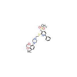 CS(=O)(=O)Cc1ccc(-c2ccccc2)nc1SCCN1CCN(c2ccc(C#N)c3c2OCCO3)CC1